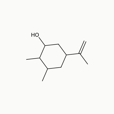 C=C(C)C1CC(C)C(C)C(O)C1